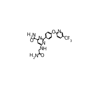 NC(=O)CNc1cc(C(N)=O)nc(-c2ccc(Oc3ccc(C(F)(F)F)cn3)cc2)n1